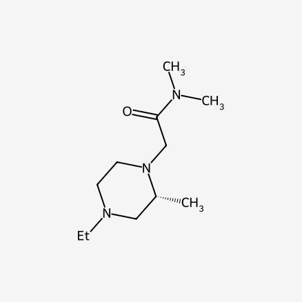 CCN1CCN(CC(=O)N(C)C)[C@H](C)C1